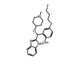 CN1CCC(OC(c2nc3ccccc3[nH]2)c2cc(SCCCF)ccc2O)CC1